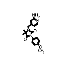 CC1(C)C(=O)N(c2ccc(OC(F)(F)F)cc2)C(=O)N1Cc1ccnc(N)c1